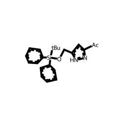 CC(=O)c1cc(CO[Si](c2ccccc2)(c2ccccc2)C(C)(C)C)[nH]n1